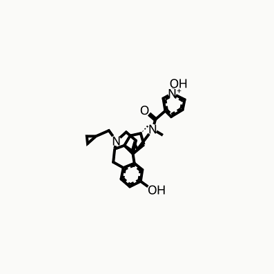 C[C@H]1CC23CCC(N(C)C(=O)c4ccc[n+](O)c4)C1C21CCN(CC2CC2)C3Cc2ccc(O)cc21